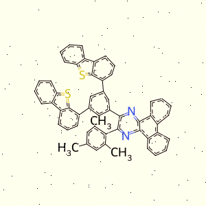 Cc1cc(C)c(-c2nc3c4ccccc4c4ccccc4c3nc2-c2cc(-c3cccc4c3sc3ccccc34)cc(-c3cccc4c3sc3ccccc34)c2)c(C)c1